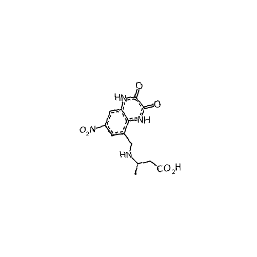 C[C@H](CC(=O)O)NCc1cc([N+](=O)[O-])cc2[nH]c(=O)c(=O)[nH]c12